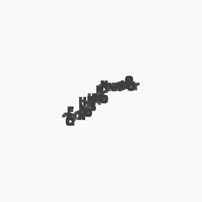 CCC(F)(F)c1cc(NC(=O)c2cnc(C(C)NC(=O)c3cc(NCC4CCN(C(=O)OC(C)(C)C)CC4)ncn3)s2)ncc1Cl